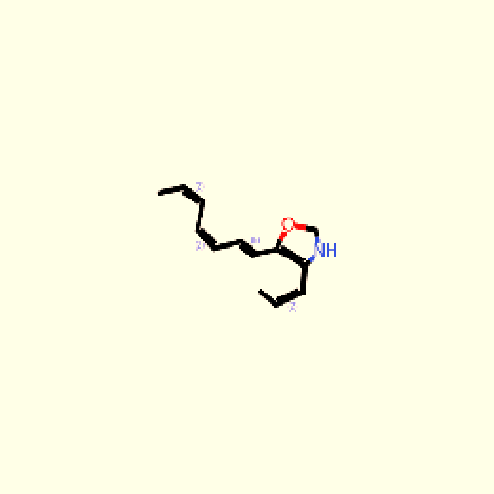 C\C=C/C=C\C=C\C1=C(/C=C\C)NCO1